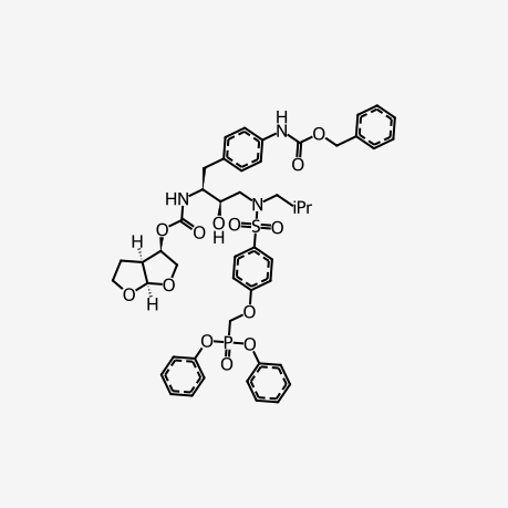 CC(C)CN(C[C@@H](O)[C@H](Cc1ccc(NC(=O)OCc2ccccc2)cc1)NC(=O)O[C@H]1CO[C@H]2OCC[C@H]21)S(=O)(=O)c1ccc(OCP(=O)(Oc2ccccc2)Oc2ccccc2)cc1